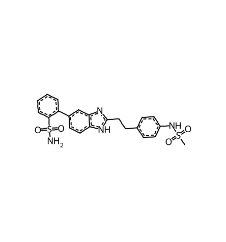 CS(=O)(=O)Nc1ccc(CCc2nc3cc(-c4ccccc4S(N)(=O)=O)ccc3[nH]2)cc1